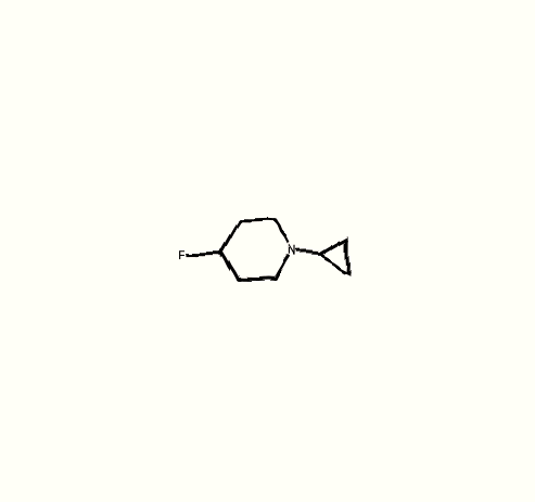 FC1CCN(C2CC2)CC1